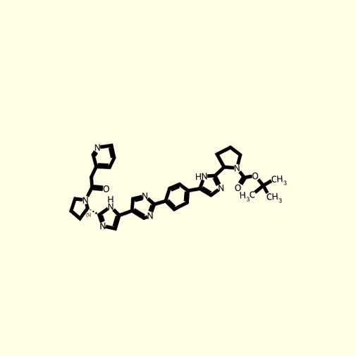 CC(C)(C)OC(=O)N1CCCC1c1ncc(-c2ccc(-c3ncc(-c4cnc([C@@H]5CCCN5C(=O)Cc5cccnc5)[nH]4)cn3)cc2)[nH]1